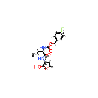 CC(C)CC(NC(=O)OCc1ccc(F)cc1)C(=O)N[C@H]1CCOC1O